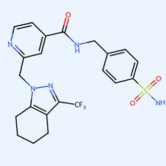 NS(=O)(=O)c1ccc(CNC(=O)c2ccnc(Cn3nc(C(F)(F)F)c4c3CCCC4)c2)cc1